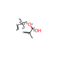 C=C(C)C(=O)O.C=C[Si](C)(C)C